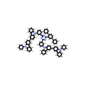 c1ccc(-c2ccc(-c3ccccc3)c(-c3nc(-c4cccc(-n5c6ccccc6c6cc(-c7ccc8c(c7)c7ccccc7n8-c7ccccc7)ccc65)c4)nc(-c4cccc(-n5c6ccccc6c6cc(-c7ccc8c(c7)c7ccccc7n8-c7ccccc7)ccc65)c4)n3)c2)cc1